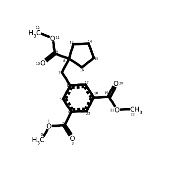 COC(=O)c1cc(CC2(C(=O)OC)CCCC2)cc(C(=O)OC)c1